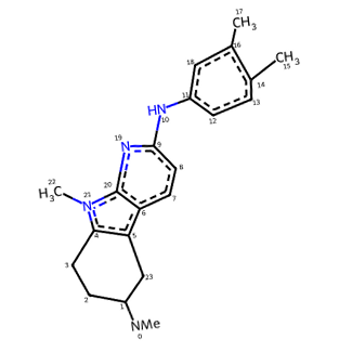 CNC1CCc2c(c3ccc(Nc4ccc(C)c(C)c4)nc3n2C)C1